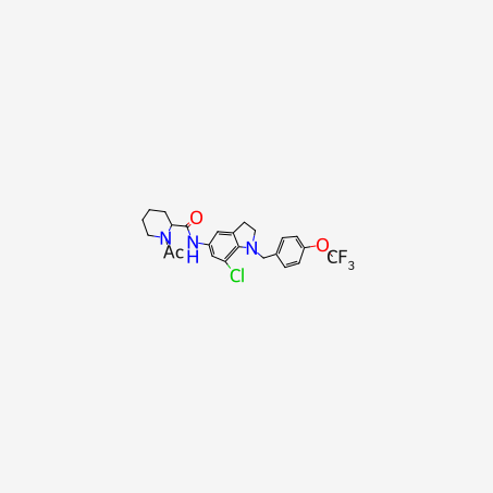 CC(=O)N1CCCCC1C(=O)Nc1cc(Cl)c2c(c1)CCN2Cc1ccc(OC(F)(F)F)cc1